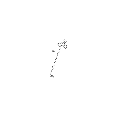 CCCCCCCCCCCCCCCCCc1ccccc1-c1ccccc1S(=O)(=O)[O-].[Na+]